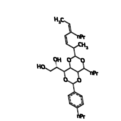 C/C=C(\C=C/C(C)C1OC(CCC)C2OC(c3ccc(CCC)cc3)OC([C@@H](O)CO)C2O1)CCC